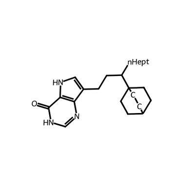 CCCCCCCC(CCc1c[nH]c2c(=O)[nH]cnc12)C12CCC(CC1)CC2